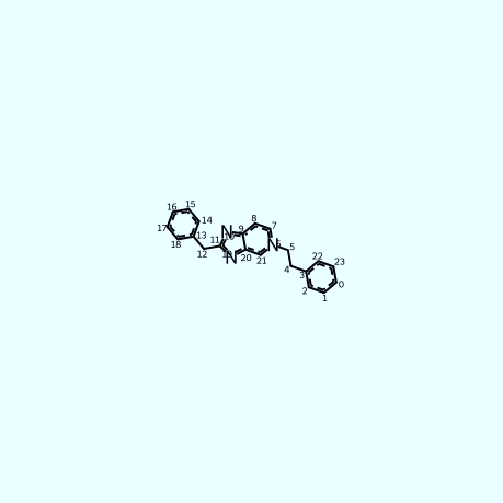 c1ccc(CCn2ccc3nc(Cc4ccccc4)nc-3c2)cc1